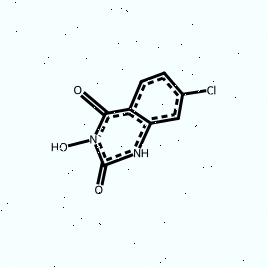 O=c1[nH]c2cc(Cl)ccc2c(=O)n1O